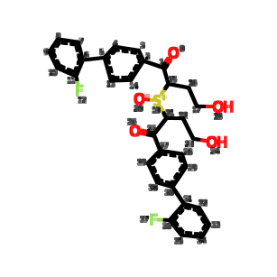 O=C(c1ccc(-c2ccccc2F)cc1)C(CCO)[S+]([O-])C(CCO)C(=O)c1ccc(-c2ccccc2F)cc1